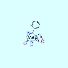 COc1c2cc3c(c1O2)NC(=O)CN=C3c1ccccc1